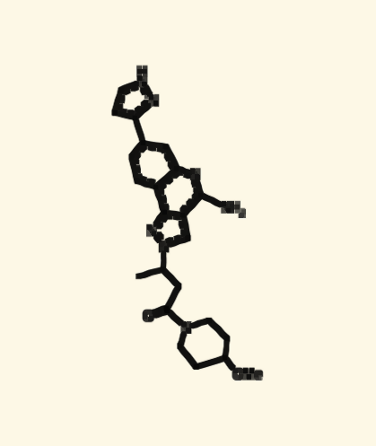 COC1CCN(C(=O)CC(C)n2cc3c(N)nc4cc(-c5cc[nH]n5)ccc4c3n2)CC1